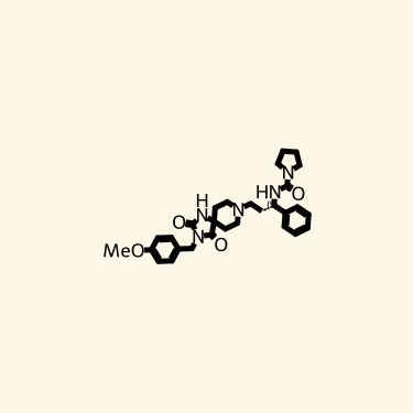 COc1ccc(CN2C(=O)NC3(CCN(CC[C@H](NC(=O)N4CCCC4)c4ccccc4)CC3)C2=O)cc1